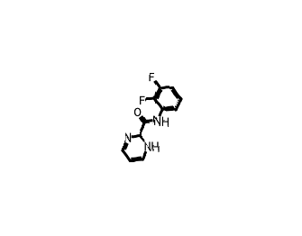 O=C(Nc1cccc(F)c1F)C1N=CC=CN1